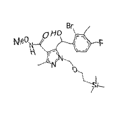 CONC(=O)c1c(C)nn(COCC[Si](C)(C)C)c1C(O)c1ccc(F)c(C)c1Br